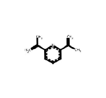 C=C(C)c1cccc(C(=C)C)n1